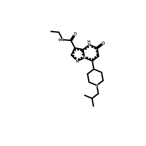 CCNC(=O)c1cnn2c(C3CCN(C[C](C)C)CC3)cc(=O)[nH]c12